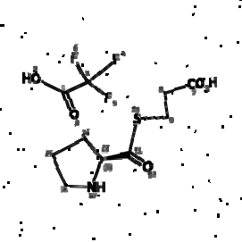 O=C(O)C(F)(F)F.O=C(O)CCSC(=O)[C@@H]1CCCN1